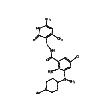 CC(=O)N1CCC(N(C)c2cc(Cl)cc(C(=O)NCc3c(C)cc(C)[nH]c3=O)c2C)CC1